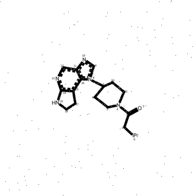 CC(C)CC(=O)N1CCC(n2cnc3cnc4c(c32)CCN4)CC1